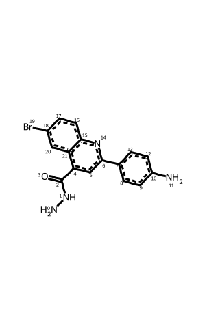 NNC(=O)c1cc(-c2ccc(N)cc2)nc2ccc(Br)cc12